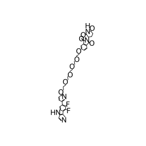 O=C1CCC(N2C(=O)c3ccc(OCCOCCOCCOCCOCCCOc4ccc(-c5cc6[nH]c7ccncc7c6c(F)c5F)cn4)cc3C2=O)C(=O)N1